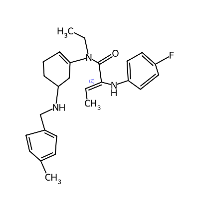 C/C=C(\Nc1ccc(F)cc1)C(=O)N(CC)C1=CCCC(NCc2ccc(C)cc2)C1